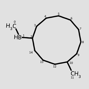 CBC1CCCCCCCC(C)CCC1